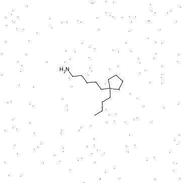 CCCCC1(CCCCCN)CCCC1